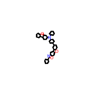 c1ccc(-c2nc3cc4c(cc3o2)oc2ccc(-c3ccc(N(c5ccccc5)c5ccc6c(c5)oc5ccccc56)cc3)cc24)cc1